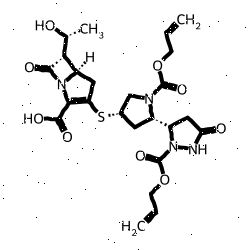 C=CCOC(=O)N1NC(=O)CC1[C@@H]1C[C@H](SC2=C(C(=O)O)N3C(=O)[C@H]([C@@H](C)O)[C@H]3C2)CN1C(=O)OCC=C